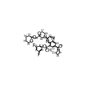 CC(Oc1cc(F)cc(F)c1)c1cc(C(=O)N2CCC2)cc2ncc(N3CCO[C@H](COC4CCCCO4)C3)nc12